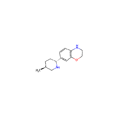 C[C@H]1CC[C@H](c2ccc3c(c2)OCCN3)NC1